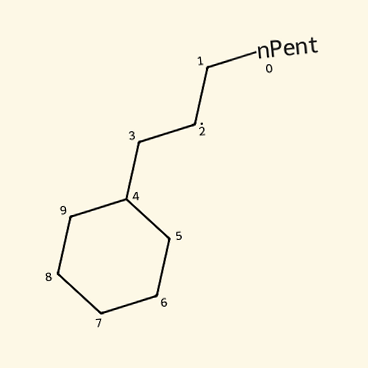 CCCCCC[CH]CC1CCCCC1